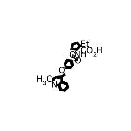 CC[C@]1(C(=O)O)CCC[C@H]1NS(=O)(=O)c1ccc(OCc2cc(C)nc3ccccc23)cc1